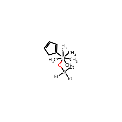 CC[Si](CC)(CC)[O][Ti]([CH3])([CH3])([CH3])([CH3])([CH3])[C]1=CC=CC1